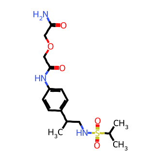 CC(CNS(=O)(=O)C(C)C)c1ccc(NC(=O)COCC(N)=O)cc1